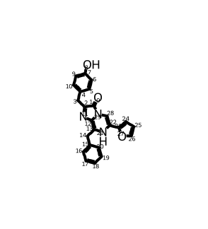 O=c1c(Cc2ccc(O)cc2)nc2c(Cc3ccccc3)[nH]c(-c3ccco3)cn1-2